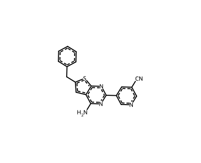 N#Cc1cncc(-c2nc(N)c3cc(Cc4ccccc4)sc3n2)c1